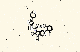 COc1cccc(F)c1-c1cc2c(cn1)NC(=O)/C2=C(/C)Nc1cnn(C2CCOCC2)c1